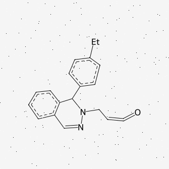 CCc1ccc(C2c3ccccc3C=NN2CC=C=O)cc1